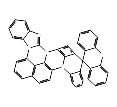 c1ccc2c(c1)Oc1ccccc1C21c2ccccc2B2c3c(cccc31)-n1c3c2ccc2cccc(c23)n2c3ccccc3nc12